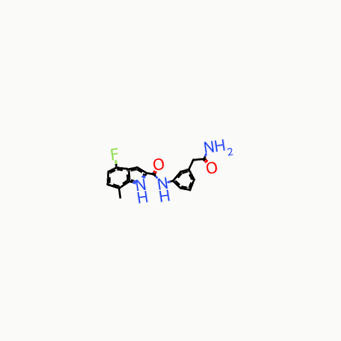 Cc1ccc(F)c2cc(C(=O)Nc3cccc(CC(N)=O)c3)[nH]c12